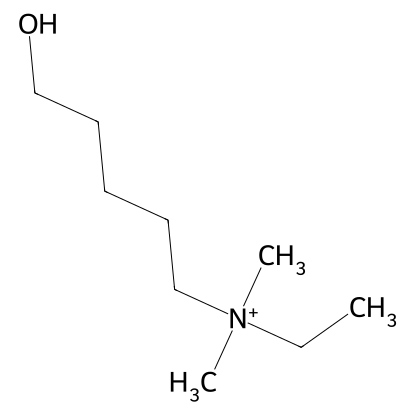 CC[N+](C)(C)CCCCCO